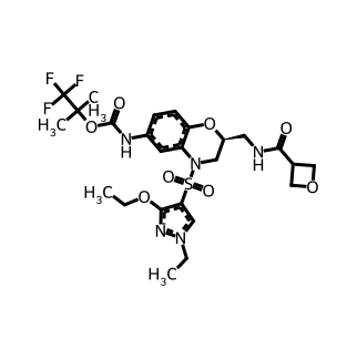 CCOc1nn(CC)cc1S(=O)(=O)N1C[C@H](CNC(=O)C2COC2)Oc2ccc(NC(=O)OC(C)(C)C(F)(F)F)cc21